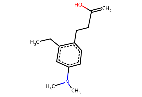 C=C(O)CCc1ccc(N(C)C)cc1CC